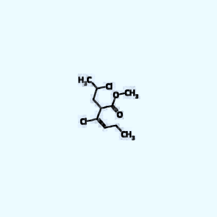 CC/C=C(/Cl)C(CC(C)Cl)C(=O)OC